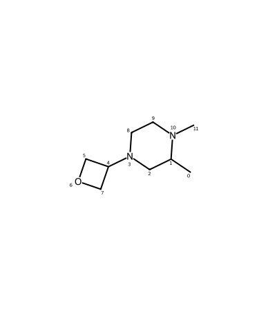 CC1CN(C2COC2)CCN1C